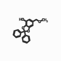 COCc1cc(O)c2c(c1)OC(c1ccccc1)(c1ccccc1)O2